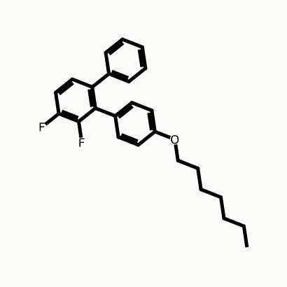 CCCCCCCOc1ccc(-c2c(-c3ccccc3)ccc(F)c2F)cc1